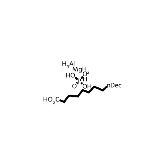 CCCCCCCCCCCCCCCCCC(=O)O.O=P(O)(O)O.[AlH3].[MgH2]